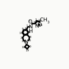 Cc1cc(C(=O)NCc2ccc3c(c2)CCN(C2CCC2)CC3)no1